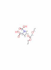 CCOCC(=O)OCC.O=C(O)C1CCCN1C(=O)O